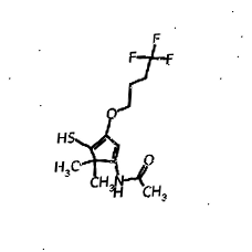 CC(=O)NC1=CC(OCCCC(F)(F)F)=C(S)C1(C)C